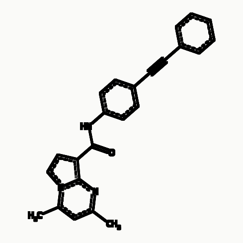 Cc1cc(C)n2ccc(C(=O)Nc3ccc(C#Cc4ccccc4)cc3)c2n1